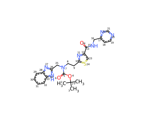 CC(C)(C)OC(=O)N(CCc1nc(C(=O)NCc2ccncn2)cs1)Cc1nc2ccccc2[nH]1